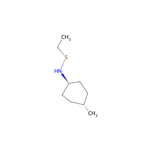 CCSN[C@H]1CC[C@H](C)CC1